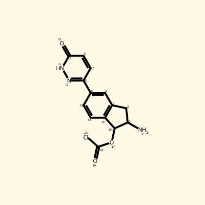 NC1Cc2cc(-c3ccc(=O)[nH]n3)ccc2C1OC(=O)Cl